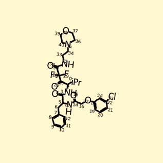 CC(C)C(NC(=O)C(Cc1ccccc1)NC(=O)COc1cccc(Cl)c1)C(=O)C(F)(F)C(=O)NCCN1CCOCC1